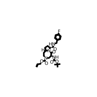 C=CCOC(=O)N1CC[C@H]2CC[C@@H](C(=O)NCc3ccc(F)cc3)N2C(=O)[C@@H](NC(=O)OC(C)(C)C)C1